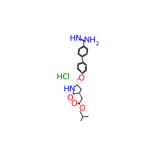 CC(C)COC(=O)C[C@@H]1C[C@@H](COc2ccc(-c3ccc(C(=N)N)cc3)cc2)NC1=O.Cl